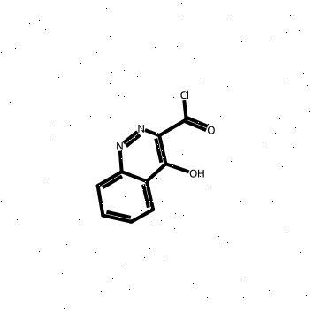 O=C(Cl)c1nnc2ccccc2c1O